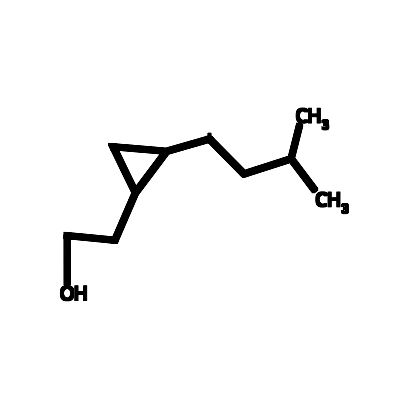 CC(C)C[CH]C1CC1CCO